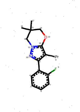 CC(C)c1c(-c2ccccc2F)nn2c1OCC(C)(C)C2